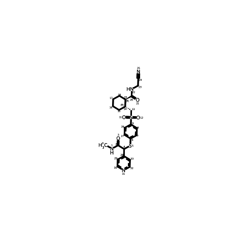 CNC(=O)C(Sc1ccc(S(=O)(=O)C[C@@H]2CCCC[C@H]2C(=O)NCC#N)cc1)c1ccncc1